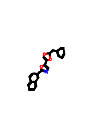 C1=C(c2cnc(-c3ccc4ccccc4c3)o2)OC(Cc2ccccc2)O1